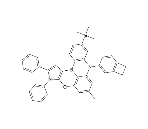 Cc1cc2c3c(c1)N(c1ccc4c(c1)CC4)c1cc([Si](C)(C)C)ccc1B3c1cc(-c3ccccc3)n(-c3ccccc3)c1O2